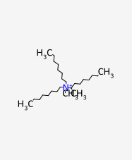 CCCCCCCC[N+](C)(CCCCCCCC)C(C)CCCCCCC